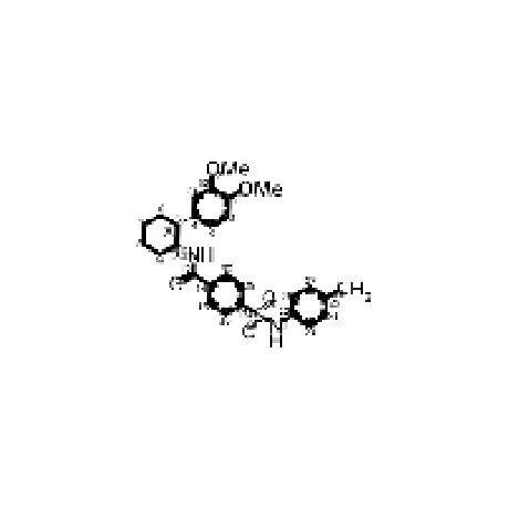 COc1ccc([C@H]2CCCC[C@H]2NC(=O)c2ccc(S(=O)(=O)Nc3ccc(C)cc3)cc2)cc1OC